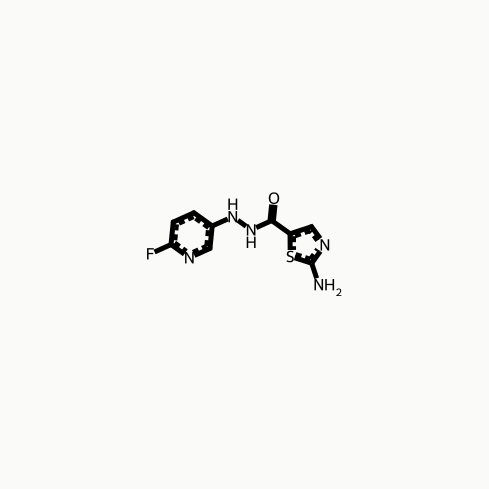 Nc1ncc(C(=O)NNc2ccc(F)nc2)s1